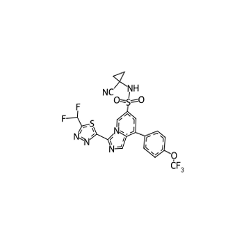 N#CC1(NS(=O)(=O)c2cc(-c3ccc(OC(F)(F)F)cc3)c3cnc(-c4nnc(C(F)F)s4)n3c2)CC1